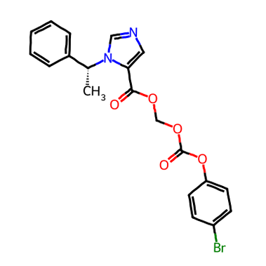 C[C@H](c1ccccc1)n1cncc1C(=O)OCOC(=O)Oc1ccc(Br)cc1